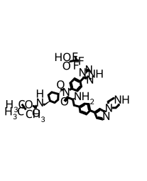 CC(C)(C)OC(=O)NC[C@H]1CC[C@H](C(=O)N(C(=O)[C@@H](N)Cc2ccc(-c3ccnc(N4CCNCC4)c3)cc2)c2ccc(-c3nn[nH]n3)cc2)CC1.O=C(O)C(F)(F)F